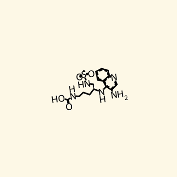 CS(=O)(=O)NC[C@H](CCCNC(=O)O)Nc1c(N)cnc2ccccc12